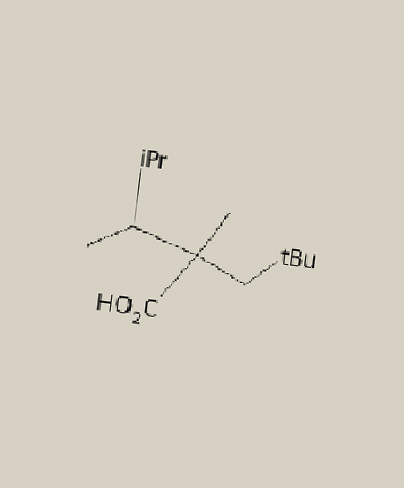 CC(C)C(C)C(C)(CC(C)(C)C)C(=O)O